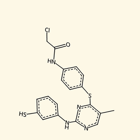 Cc1cnc(Nc2cccc(S)c2)nc1Sc1ccc(NC(=O)CCl)cc1